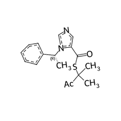 CC(=O)C(C)(C)SC(=O)c1cncn1[C@H](C)c1ccccc1